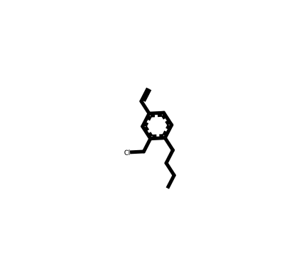 C=Cc1ccc(CCCC)c(CCl)c1